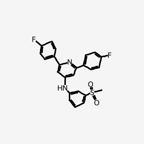 CS(=O)(=O)c1cccc(Nc2cc(-c3ccc(F)cc3)nc(-c3ccc(F)cc3)c2)c1